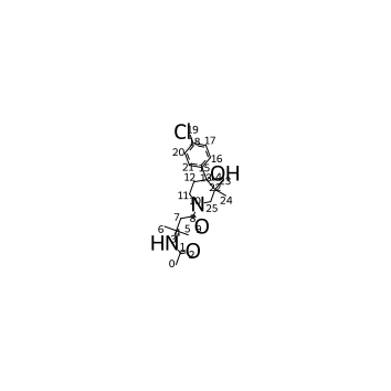 CC(=O)NC(C)(C)CC(=O)N1CCC(O)(c2ccc(Cl)cc2)C(C)(C)C1